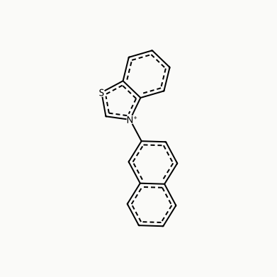 c1ccc2cc(-[n+]3csc4ccccc43)ccc2c1